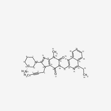 CC#CCn1c(N2CCC[C@@H](N)C2)nc2c1c(=O)n(Cc1nc(CC)c3ccccc3n1)c(=O)n2C